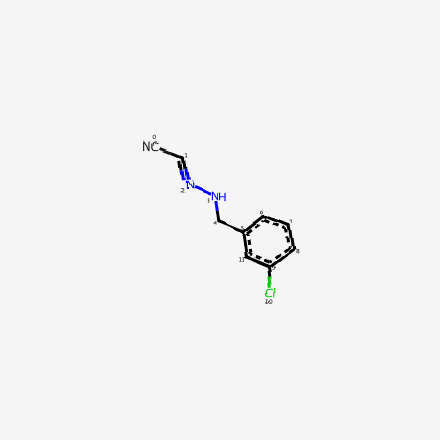 N#CC=NNCc1cccc(Cl)c1